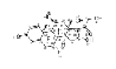 C[C@]12C=CC(=O)C=C1C[C@@H](F)[C@H]1[C@@H]3C[C@@H](O)[C@](O)(C(=O)CO)[C@@]3(C)C[C@H](O)[C@@]12F